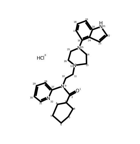 Cl.O=C(C1CCCCC1)N(CCN1CCN(c2cccc3[nH]ccc23)CC1)c1ccccn1